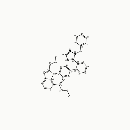 CCOC(=O)c1cccc2nc(OCC)n(-c3ccc(-c4ccccc4-c4nnnn4Cc4ccccc4)cc3)c12